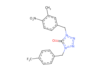 Cc1cc(Cn2nnn(Cc3ccc(C(F)(F)F)cc3)c2=O)ccc1[N+](=O)[O-]